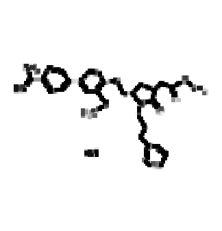 COC(=O)C[C@@H]1C[C@@H](COc2ccc(-c3ccc(C(=N)N)cc3)cc2SC)N(CCCc2ccccc2)C1=O.Cl